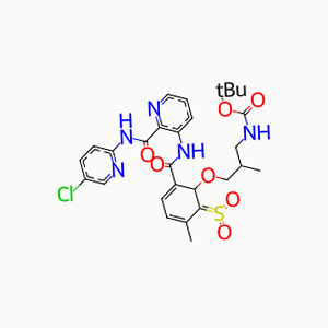 CC1=CC=C(C(=O)Nc2cccnc2C(=O)Nc2ccc(Cl)cn2)C(OCC(C)CNC(=O)OC(C)(C)C)C1=S(=O)=O